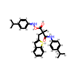 CC(C)c1ccc(NOC(=O)C(C)(Cc2cc3ccccc3s2)C(=O)Nc2ccc(C(C)C)cc2)cc1